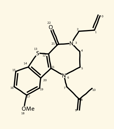 C=CCN1CCN(CC(=C)C)c2c(sc3ccc(OC)cc23)C1=O